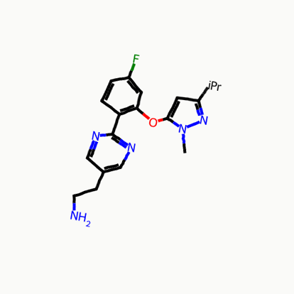 CC(C)c1cc(Oc2cc(F)ccc2-c2ncc(CCN)cn2)n(C)n1